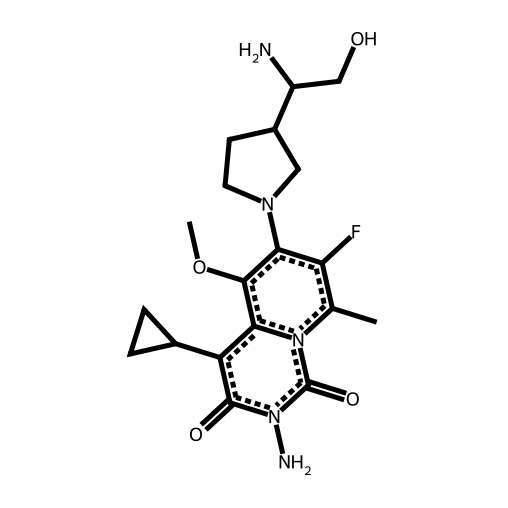 COc1c(N2CCC(C(N)CO)C2)c(F)c(C)n2c(=O)n(N)c(=O)c(C3CC3)c12